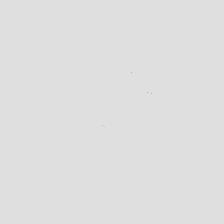 C/C=C\N1C=CC(C(C)C)=C(C(CCCCCC)CCCCCC)/C1=C/C